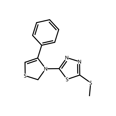 CSc1nnc(N2CSC=C2c2ccccc2)s1